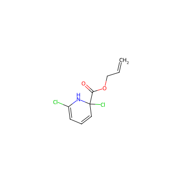 C=CCOC(=O)C1(Cl)C=CC=C(Cl)N1